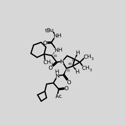 CC(=O)C(=O)C(CC1CCC1)NC(=O)[C@@H]1[C@@H]2[C@H](CN1C(=O)[C@@H](NC(=O)NC(C)(C)C)C1(C)CCCCC1)C2(C)C